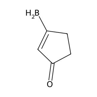 BC1=CC(=O)CC1